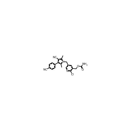 Cc1c(C#N)c(-c2ccc(C#N)cc2)c(C)n1Cc1cnc(Cl)c(COC(N)=O)c1